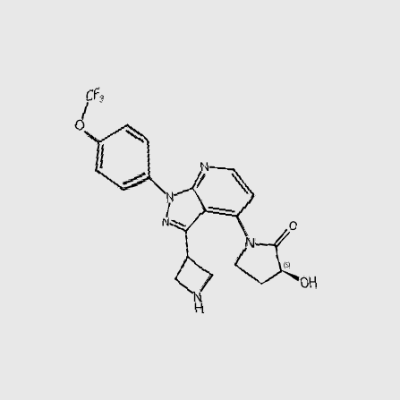 O=C1[C@@H](O)CCN1c1ccnc2c1c(C1CNC1)nn2-c1ccc(OC(F)(F)F)cc1